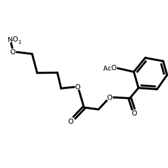 CC(=O)Oc1ccccc1C(=O)OCC(=O)OCCCCO[N+](=O)[O-]